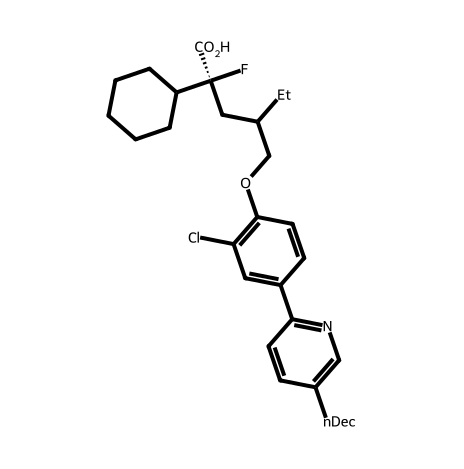 CCCCCCCCCCc1ccc(-c2ccc(OCC(CC)C[C@@](F)(C(=O)O)C3CCCCC3)c(Cl)c2)nc1